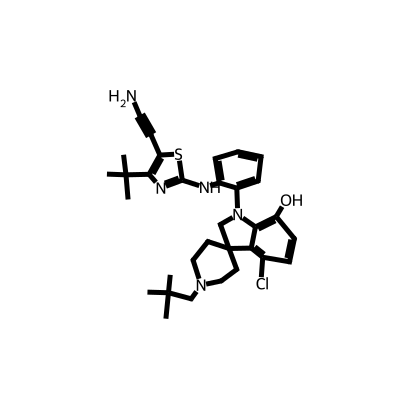 CC(C)(C)CN1CCC2(CC1)CN(c1ccccc1Nc1nc(C(C)(C)C)c(C#CN)s1)c1c(O)ccc(Cl)c12